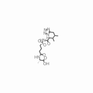 CC(CC(=O)NS(=O)(=O)CCCC(=O)N[C@@H](C)C(=O)O)C(C)Cc1nnn[nH]1